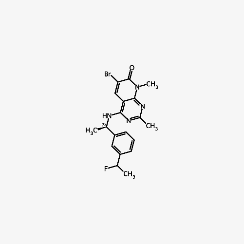 Cc1nc(N[C@H](C)c2cccc(C(C)F)c2)c2cc(Br)c(=O)n(C)c2n1